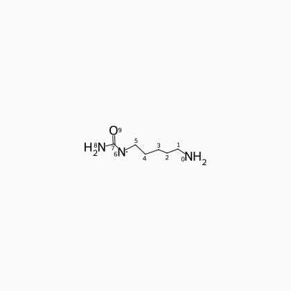 NCCCCC[N]C(N)=O